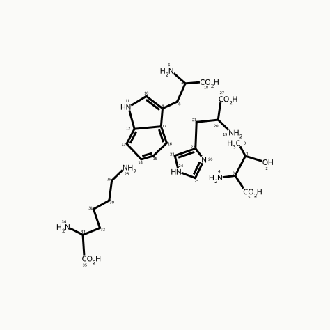 CC(O)C(N)C(=O)O.NC(Cc1c[nH]c2ccccc12)C(=O)O.NC(Cc1c[nH]cn1)C(=O)O.NCCCCC(N)C(=O)O